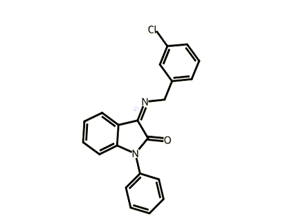 O=C1/C(=N\Cc2cccc(Cl)c2)c2ccccc2N1c1ccccc1